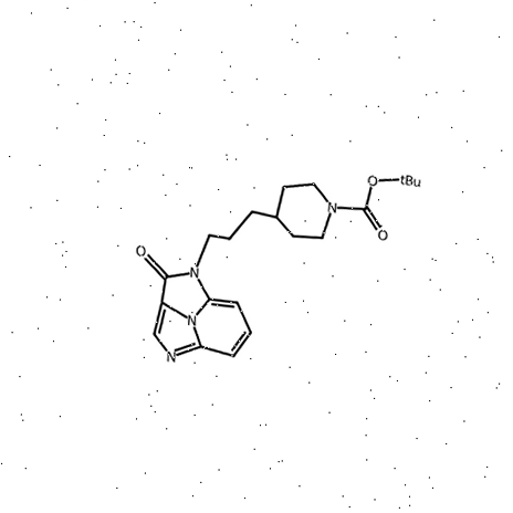 CC(C)(C)OC(=O)N1CCC(CCCn2c(=O)c3cnc4cccc2n43)CC1